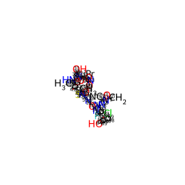 C=CC(=O)N1CCN(c2nc(OCCN3CCC(OCCOc4cc([C@@H](C(=O)N5C[C@@H](O)C[C@H]5C(=O)N[C@@H](C)c5ccc(-c6scnc6C)cc5)C(C)C)on4)CC3)nc3c(F)c(-c4cc(O)cc5ccccc45)c(Cl)cc23)C[C@@H]1CC#N